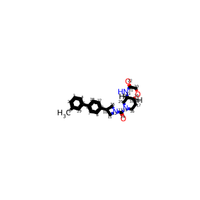 Cc1cccc(-c2ccc(C3CN(C(=O)N4CC[C@@H]5OCC(=O)N[C@@H]5C4)C3)cc2)c1